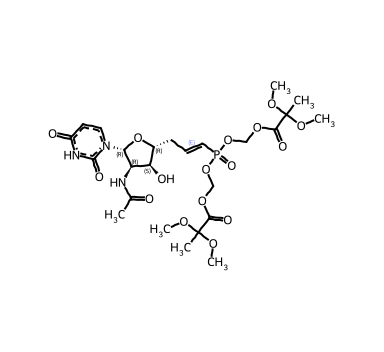 COC(C)(OC)C(=O)OCOP(=O)(/C=C/C[C@H]1O[C@@H](n2ccc(=O)[nH]c2=O)[C@H](NC(C)=O)[C@@H]1O)OCOC(=O)C(C)(OC)OC